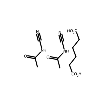 CC(=O)NC#N.CC(=O)NC#N.O=C(O)CCCCC(=O)O